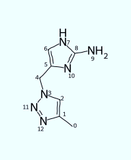 Cc1cn(Cc2c[nH]c(N)n2)nn1